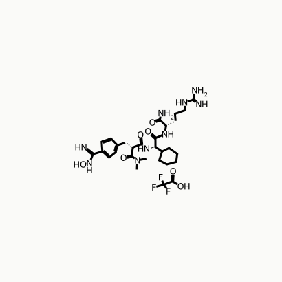 CN(C)C(=O)[C@H](Cc1ccc(C(=N)NO)cc1)C(=O)N[C@H](C(=O)N[C@@H](CCCNC(=N)N)C(N)=O)C1CCCCC1.O=C(O)C(F)(F)F